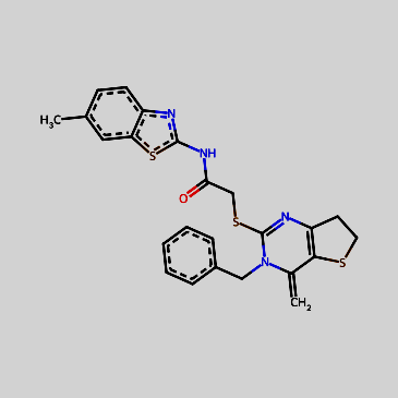 C=C1C2=C(CCS2)N=C(SCC(=O)Nc2nc3ccc(C)cc3s2)N1Cc1ccccc1